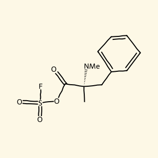 CN[C@@](C)(Cc1ccccc1)C(=O)OS(=O)(=O)F